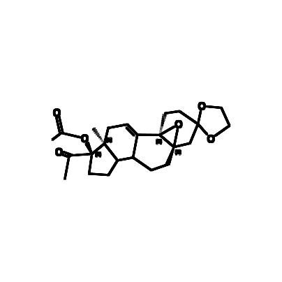 CC(=O)O[C@]1(C(C)=O)CCC2C3CC[C@@]45CC6(CC[C@@]4(O5)C3=CC[C@@]21C)OCCO6